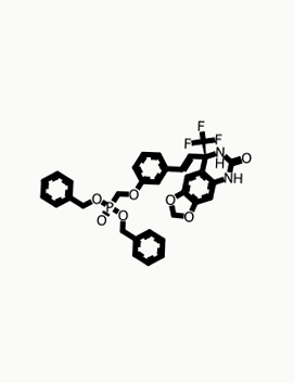 O=C1Nc2cc3c(cc2[C@@](/C=C/c2cccc(OCP(=O)(OCc4ccccc4)OCc4ccccc4)c2)(C(F)(F)F)N1)OCO3